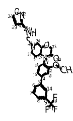 COc1cc(-c2cccc(C(F)(F)F)c2)ccc1N1C(=O)COC2CN(SNc3ccon3)CCC21